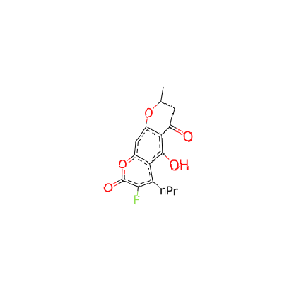 CCCc1c(F)c(=O)oc2cc3c(c(O)c12)C(=O)CC(C)O3